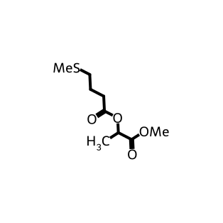 COC(=O)C(C)OC(=O)CCCSC